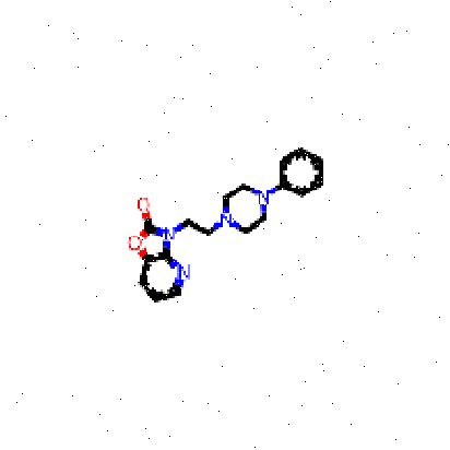 O=c1oc2cccnc2n1CCN1CCN(c2ccccc2)CC1